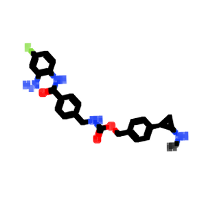 CC(C)NC1C[C@@H]1c1ccc(COC(=O)NCc2ccc(C(=O)Nc3ccc(F)cc3N)cc2)cc1